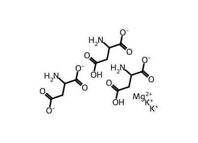 NC(CC(=O)O)C(=O)[O-].NC(CC(=O)O)C(=O)[O-].NC(CC(=O)[O-])C(=O)[O-].[K+].[K+].[Mg+2]